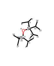 CC(C)[SiH](O[Si](C(C)C)(C(C)C)C(C)C)C(C)C